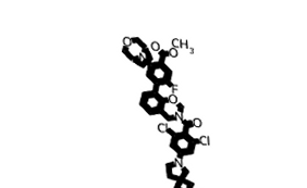 COC(=O)c1cc(F)c(-c2cccc3c2OCN(C(=O)c2c(Cl)cc(N4CCC5(CNC5)C4)cc2Cl)C3)cc1N1C2CCC1COC2